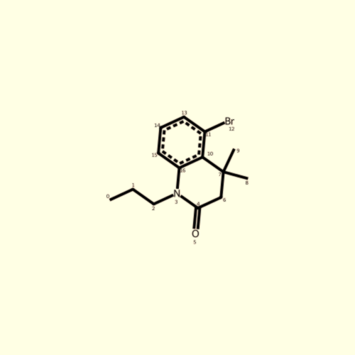 CCCN1C(=O)CC(C)(C)c2c(Br)cccc21